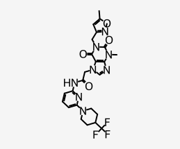 Cc1cc(Cn2c(=O)c3c(ncn3CC(=O)Nc3cccc(N4CCC(C(F)(F)F)CC4)n3)n(C)c2=O)no1